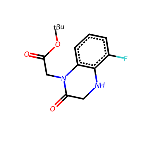 CC(C)(C)OC(=O)CN1C(=O)CNc2c(F)cccc21